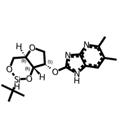 Cc1cc2[nH]c(O[C@H]3CO[C@@H]4CO[SiH](C(C)(C)C)O[C@@H]34)nc2nc1C